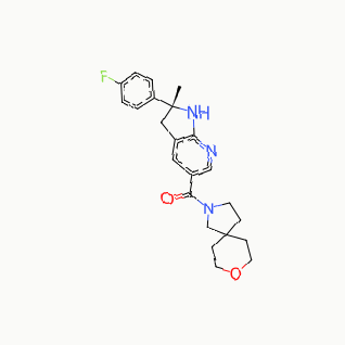 C[C@]1(c2ccc(F)cc2)Cc2cc(C(=O)N3CCC4(CCOCC4)C3)cnc2N1